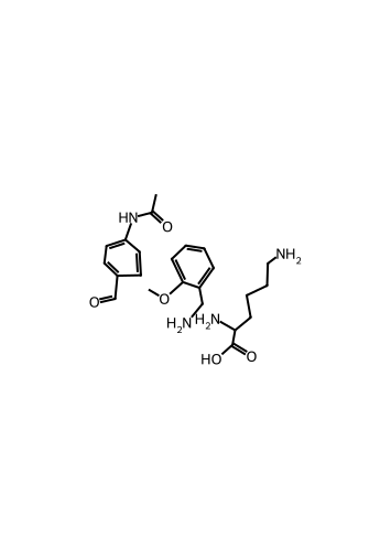 CC(=O)Nc1ccc(C=O)cc1.COc1ccccc1CN.NCCCCC(N)C(=O)O